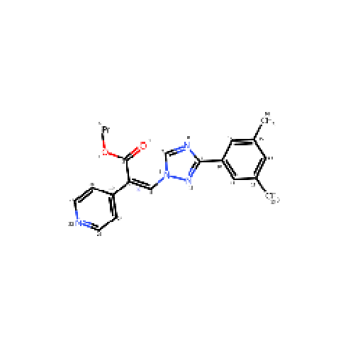 CC(C)OC(=O)/C(=C\n1cnc(-c2cc(C(F)(F)F)cc(C(F)(F)F)c2)n1)c1ccncc1